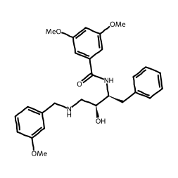 COc1cccc(CNC[C@H](O)[C@H](Cc2ccccc2)NC(=O)c2cc(OC)cc(OC)c2)c1